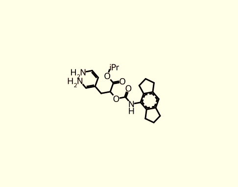 CC(C)OC(=O)C(CC(/C=C\N)=C/N)OC(=O)Nc1c2c(cc3c1CCC3)CCC2